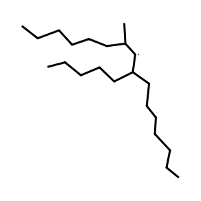 CCCCCCCC([CH]C(C)CCCCCC)CCCCC